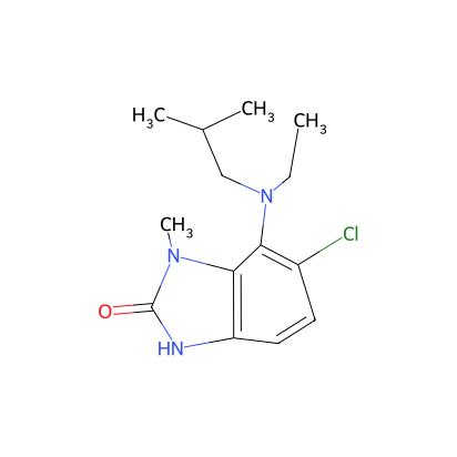 CCN(CC(C)C)c1c(Cl)ccc2[nH]c(=O)n(C)c12